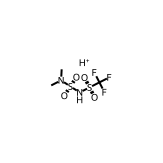 CN(C)S(=O)(=O)NS(=O)(=O)C(F)(F)F.[H+]